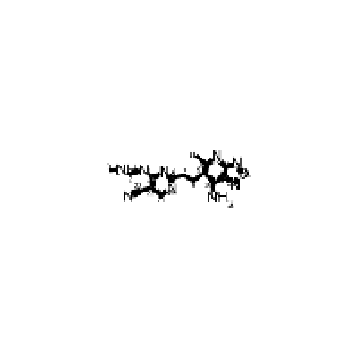 CN/C=N/c1nc(CCc2c(C)nc3nonc3c2N)ncc1C#N